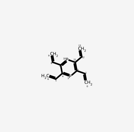 C=Cc1pc(C=C)c(C=C)pc1C=C